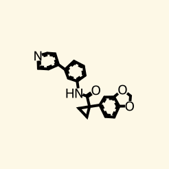 O=C(Nc1cccc(-c2ccncc2)c1)C1(c2ccc3c(c2)OCO3)CC1